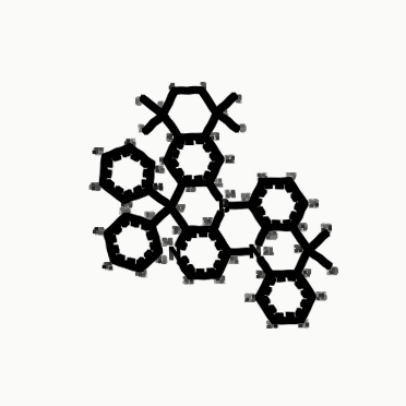 CC1(C)CCC(C)(C)c2cc3c(cc21)B1c2cccc4c2N(c2ccccc2C4(C)C)c2ccnc(c21)C3(c1ccccc1)c1ccccc1